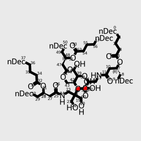 CCCCCCCCCCCCCC(=O)O[C@H](CCCCCCCCCCC)CC(=O)NCC(OCC(CO)(CO)CNC(=O)C[C@@H](CCCCCCCCCCC)OC(=O)CCCCCCCCCCCCC)OC(CO)[C@H](COC(=O)C[C@@H](CCCCCCCCCCC)OC(=O)CCCCCCCCCCCCC)OP(=O)(O)O